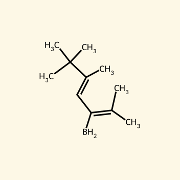 BC(/C=C(\C)C(C)(C)C)=C(C)C